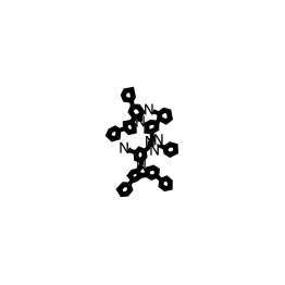 N#Cc1cc(-c2nc(-c3ccccc3)nc(-c3cc(-c4ccccc4C#N)cc(-n4c5ccc(-c6ccccc6)cc5c5cc(-c6ccccc6)ccc54)c3)n2)cc(-n2c3ccc(-c4ccccc4)cc3c3cc(-c4ccccc4)ccc32)c1